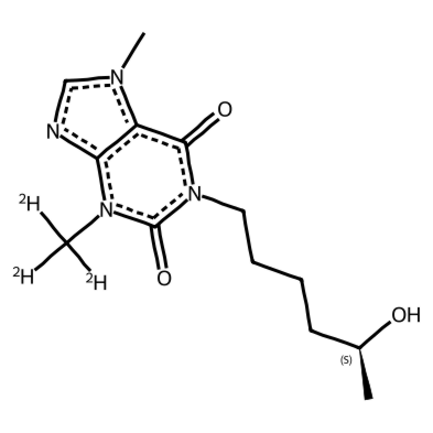 [2H]C([2H])([2H])n1c(=O)n(CCCC[C@H](C)O)c(=O)c2c1ncn2C